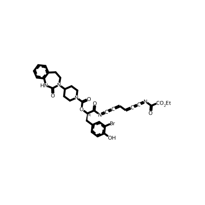 CCOC(=O)C(=O)N=C=C=CC=C=C=NC(=O)[C@@H](Cc1ccc(O)c(Br)c1)OC(=O)N1CCC(N2CCc3ccccc3NC2=O)CC1